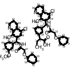 CCC(C(=O)O)c1cccc(C(NC(=O)COc2ccccc2)c2cc(Cl)c3cccnc3c2O)c1.COc1cccc(C(NC(=O)COc2ccccc2)c2cc(Cl)c3cccnc3c2O)c1